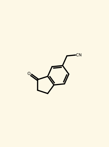 N#CCc1ccc2c(c1)C(=O)CC2